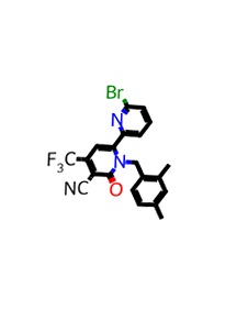 Cc1ccc(Cn2c(-c3cccc(Br)n3)cc(C(F)(F)F)c(C#N)c2=O)c(C)c1